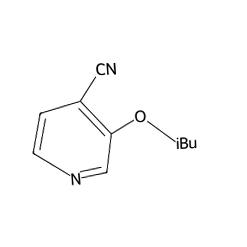 CCC(C)Oc1cnccc1C#N